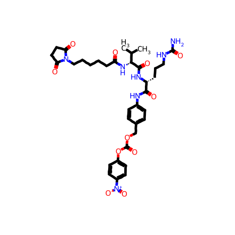 CC(C)[C@@H](NC(=O)CCCCCN1C(=O)CCC1=O)C(=O)N[C@H](CCCNC(N)=O)C(=O)Nc1ccc(COC(=O)Oc2ccc([N+](=O)[O-])cc2)cc1